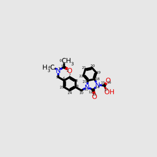 CC(=O)N(C)Cc1ccc(Cn2c(=O)n(C(=O)O)c3ccccc32)cc1